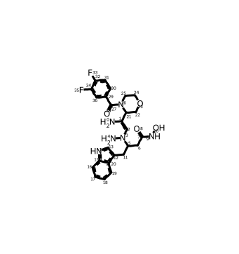 N/C(=C\N(N)C(CC(=O)NO)Cc1c[nH]c2ccccc12)C1COCCN1C(=O)c1ccc(F)c(F)c1